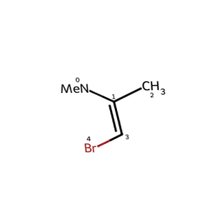 CN/C(C)=C\Br